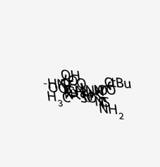 CC(C)(C)OC(=O)CON=C(C(=O)N[C@@H]1C(=O)N2C(C(=O)[O-])=C(C[N+](C)(C)Cc3cc(=O)c(O)c[nH]3)CS[C@@H]12)c1csc(N)n1